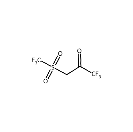 O=C(CS(=O)(=O)C(F)(F)F)C(F)(F)F